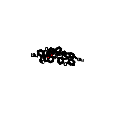 CC(C)(C)C1=CC2C(C=C1)Oc1ccc(C(C)(C)C)cc1C21c2ccccc2-c2ccc(N(c3ccc4c(c3)C3(c5ccccc5O4)c4cc(C(C)(C)C)ccc4-c4ccc(C(C)(C)C)cc43)c3ccccc3-c3ccccc3)cc21